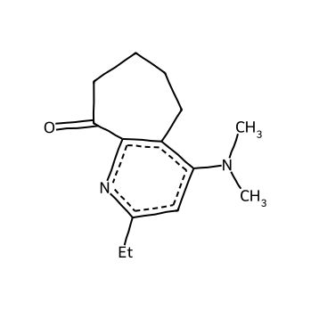 CCc1cc(N(C)C)c2c(n1)C(=O)CCCC2